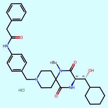 CCCCN1C(=O)[C@@H]([C@H](O)C2CCCCC2)NC(=O)C12CCN(Cc1ccc(NC(=O)Cc3ccccc3)cc1)CC2.Cl